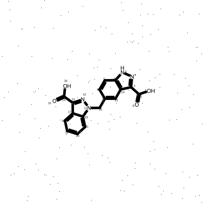 O=C(O)c1n[nH]c2ccc(Cn3nc(C(=O)O)c4ccccc43)cc12